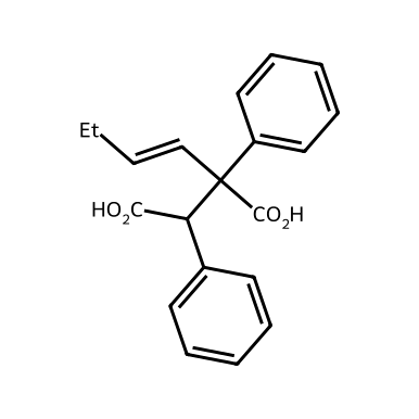 CCC=CC(C(=O)O)(c1ccccc1)C(C(=O)O)c1ccccc1